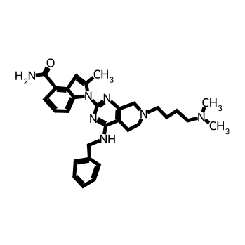 Cc1cc2c(C(N)=O)cccc2n1-c1nc2c(c(NCc3ccccc3)n1)CCN(CCCCN(C)C)C2